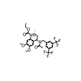 CCOC(=O)N1c2cc(OC)c(OC)cc2[C@@H](N(Cc2cc(C(F)(F)F)cc(C(F)(F)F)c2)C(C)=O)C[C@H]1C